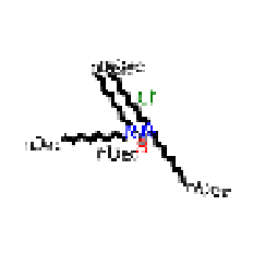 CCCCCCCCCCCCCCCCCC[N](CCCCCCCCCCCCCCCCCC)[Ti+]([O]CCCCCCCCCC)[N](CCCCCCCCCCCCCCCCCC)CCCCCCCCCCCCCCCCCC.[Cl-]